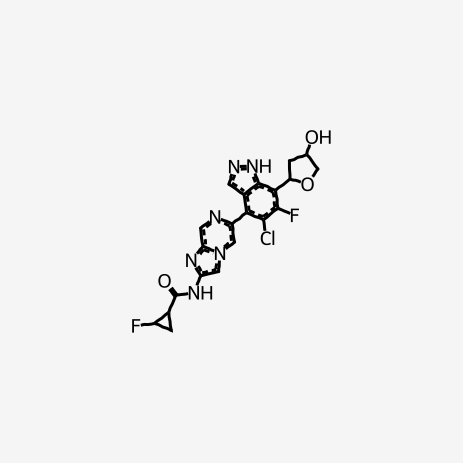 O=C(Nc1cn2cc(-c3c(Cl)c(F)c(C4CC(O)CO4)c4[nH]ncc34)ncc2n1)C1CC1F